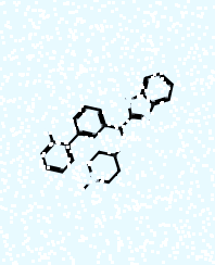 CN1CCC(OC(c2cccc(-c3ccccc3Cl)c2)c2nc3ccccc3[nH]2)CC1